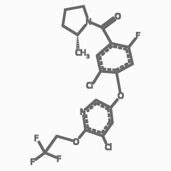 C[C@@H]1CCCN1C(=O)c1cc(Cl)c(Oc2cnc(OCC(F)(F)F)c(Cl)c2)cc1F